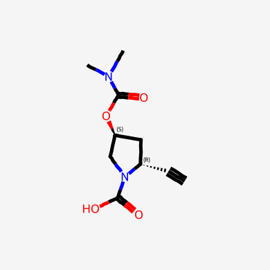 C#C[C@H]1C[C@H](OC(=O)N(C)C)CN1C(=O)O